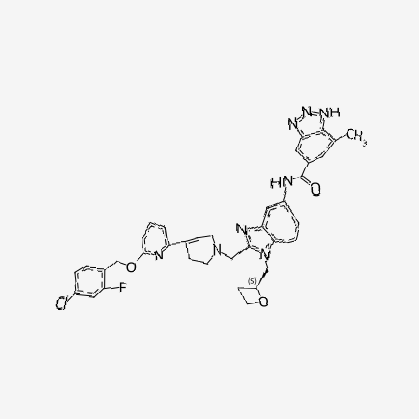 Cc1cc(C(=O)Nc2ccc3c(c2)nc(CN2CC=C(c4cccc(OCc5ccc(Cl)cc5F)n4)CC2)n3C[C@@H]2CCO2)cc2nn[nH]c12